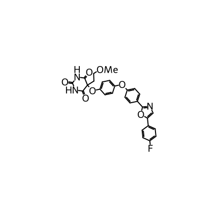 COCCC1(Oc2ccc(Oc3ccc(-c4ncc(-c5ccc(F)cc5)o4)cc3)cc2)C(=O)NC(=O)NC1=O